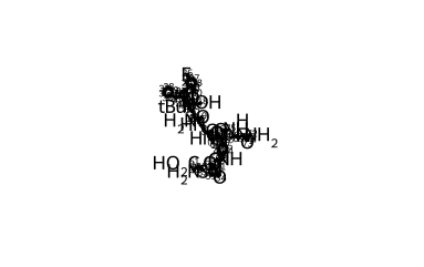 C[C@H](NC(=O)CCNC(=O)[C@@H](N)CCN(C(=O)CO)[C@@H](c1nc(-c2cc(F)ccc2F)cn1Cc1ccccc1)C(C)(C)C)C(=O)N(c1ccc(NC(=O)CN2C(=O)CC(SC[C@H](N)C(=O)O)C2=O)cc1)[C@@H](CCCNC(N)=O)C(N)=O